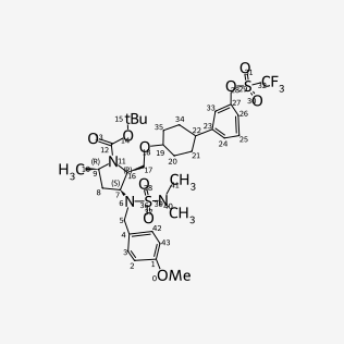 COc1ccc(CN([C@H]2C[C@@H](C)N(C(=O)OC(C)(C)C)[C@H]2COC2CCC(c3cccc(OS(=O)(=O)C(F)(F)F)c3)CC2)S(=O)(=O)N(C)C)cc1